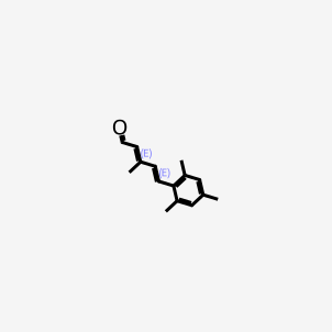 CC(/C=C/c1c(C)cc(C)cc1C)=C\C=O